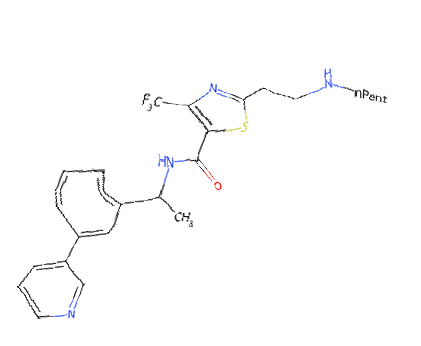 CCCCCNCCc1nc(C(F)(F)F)c(C(=O)NC(C)c2cccc(-c3cccnc3)c2)s1